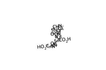 CC(=S)N(c1cccnc1)C1C(=O)N2CC(CSc3nnc(CC(=O)O)o3)(C(=O)O)CS[C@H]12